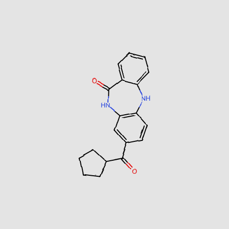 O=C1Nc2cc(C(=O)C3CCCC3)ccc2Nc2ccccc21